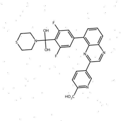 O=C(O)c1ccc(-c2cnc3cccc(-c4cc(F)c(C(O)(O)N5CCSCC5)c(F)c4)c3n2)cn1